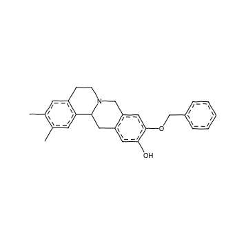 Cc1cc2c(cc1C)C1Cc3cc(O)c(OCc4ccccc4)cc3CN1CC2